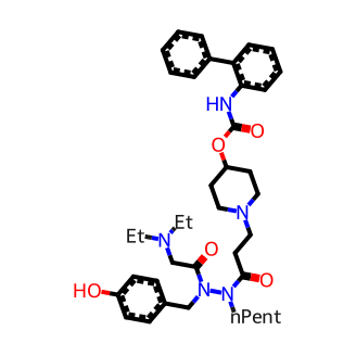 CCCCCN(C(=O)CCN1CCC(OC(=O)Nc2ccccc2-c2ccccc2)CC1)N(Cc1ccc(O)cc1)C(=O)CN(CC)CC